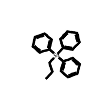 CC[CH2][Sn]([c]1ccccc1)([c]1ccccc1)[c]1ccccc1